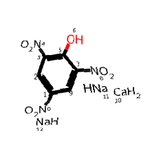 O=[N+]([O-])c1cc([N+](=O)[O-])c(O)c([N+](=O)[O-])c1.[CaH2].[NaH].[NaH]